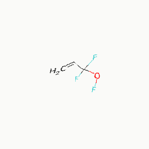 C=CC(F)(F)OF